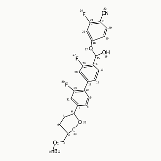 CCCCOCC1CCC(c2ccc(-c3ccc(C(O)Oc4ccc(C#N)c(F)c4)c(F)c3)c(F)c2)OC1